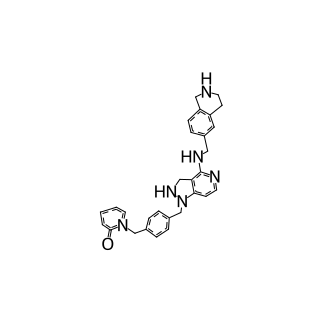 O=c1ccccn1Cc1ccc(CN2NCc3c2ccnc3NCc2ccc3c(c2)CCNC3)cc1